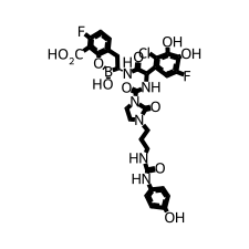 O=C(NCCCN1CCN(C(=O)NC(C(=O)N[C@H]2Cc3ccc(F)c(C(=O)O)c3OB2O)c2cc(F)c(O)c(O)c2Cl)C1=O)Nc1ccc(O)cc1